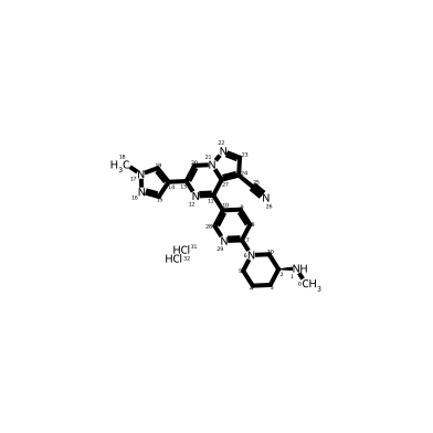 CN[C@H]1CCCN(c2ccc(-c3nc(-c4cnn(C)c4)cn4ncc(C#N)c34)cn2)C1.Cl.Cl